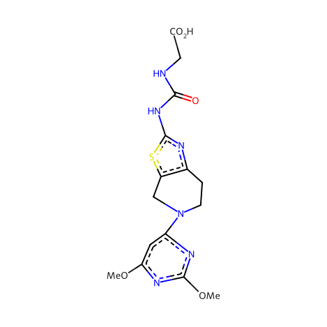 COc1cc(N2CCc3nc(NC(=O)NCC(=O)O)sc3C2)nc(OC)n1